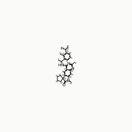 Cc1nc(NC(C)c2cccc(C(F)F)c2C)c2cc3c(cc2n1)N(C)C(=O)C31CCCC1